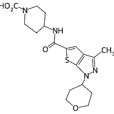 Cc1nn(C2CCOCC2)c2sc(C(=O)NC3CCN(C(=O)O)CC3)cc12